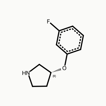 Fc1cccc(O[C@@H]2CCNC2)c1